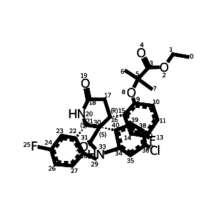 CCOC(=O)C(C)(C)Oc1ccc(F)cc1[C@H]1CC(=O)N[C@@H](c2cc(F)ccc2C)[C@]12C(=O)Nc1cc(Cl)ccc12